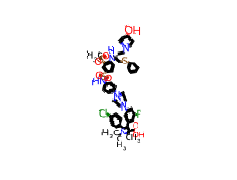 Cc1c(C(=O)O)c(-c2cc(F)cc(N3CCN(c4ccc(NS(=O)(=O)c5ccc(N[C@H](CCN6CCC(O)CC6)CSc6ccccc6)c(S(C)(=O)=O)c5)cc4)CC3)c2)c(-c2ccc(Cl)cc2)n1C(C)C